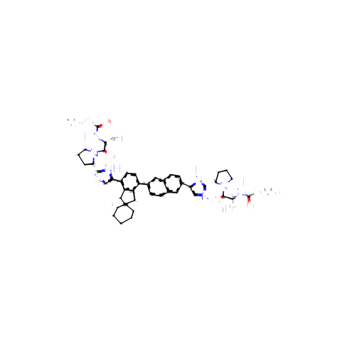 COC(=O)N[C@H](C(=O)N1CCC[C@H]1c1ncc(-c2ccc3cc(-c4ccc(-c5cnc([C@@H]6CCCN6C(=O)[C@@H](NC(=O)OC)C(C)C)[nH]5)c5c4CC4(CCCCC4)C5)ccc3c2)[nH]1)C(C)C